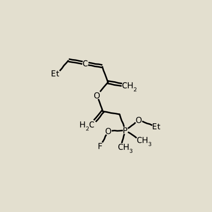 C=C(C=C=CCC)OC(=C)CP(C)(C)(OF)OCC